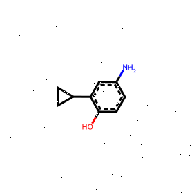 Nc1ccc(O)c(C2CC2)c1